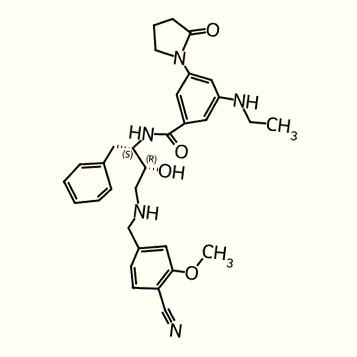 CCNc1cc(C(=O)N[C@@H](Cc2ccccc2)[C@H](O)CNCc2ccc(C#N)c(OC)c2)cc(N2CCCC2=O)c1